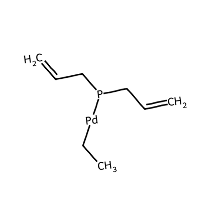 C=CC[P](CC=C)[Pd][CH2]C